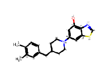 Cc1ccc(CC2CCN(c3cc([O])c4ncsc4c3)CC2)cc1C